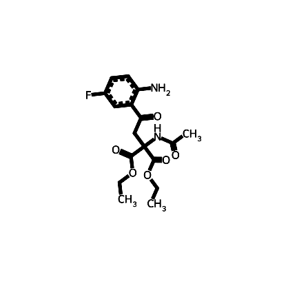 CCOC(=O)C(CC(=O)c1cc(F)ccc1N)(NC(C)=O)C(=O)OCC